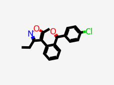 CCc1noc(C)c1-c1ccccc1C(=O)c1ccc(Cl)cc1